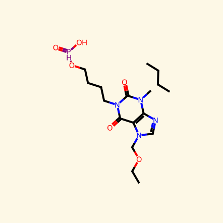 CCCC.CCOCn1cnc2c1c(=O)n(CCCCO[PH](=O)O)c(=O)n2C